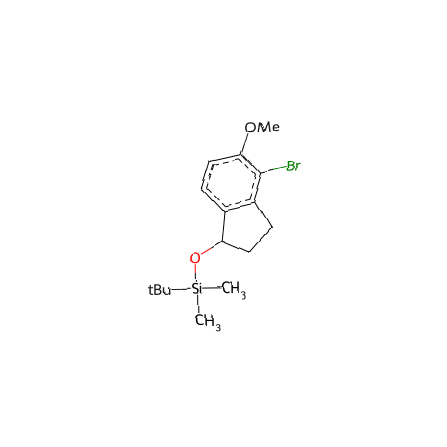 COc1ccc2c(c1Br)CCC2O[Si](C)(C)C(C)(C)C